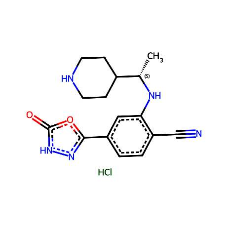 C[C@H](Nc1cc(-c2n[nH]c(=O)o2)ccc1C#N)C1CCNCC1.Cl